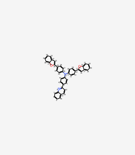 c1ccc2nc(-c3ccc(N(c4ccc(-c5cc6ccccc6o5)cc4)c4ccc(-c5cc6ccccc6o5)cc4)cc3)ccc2c1